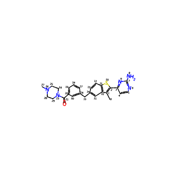 Cc1c(-c2ccnc(N)n2)sc2ccc(Cc3cccc(C(=O)N4CCN(C)CC4)c3)cc12